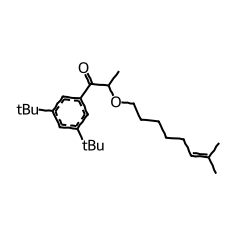 CC(C)=CCCCCCOC(C)C(=O)c1cc(C(C)(C)C)cc(C(C)(C)C)c1